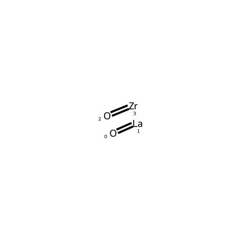 [O]=[La].[O]=[Zr]